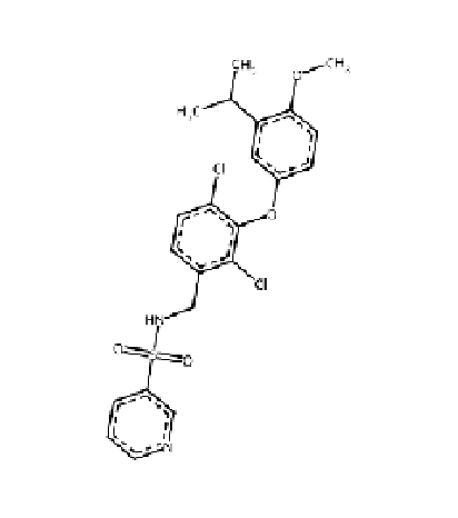 COc1ccc(Oc2c(Cl)ccc(CNS(=O)(=O)c3cccnc3)c2Cl)cc1C(C)C